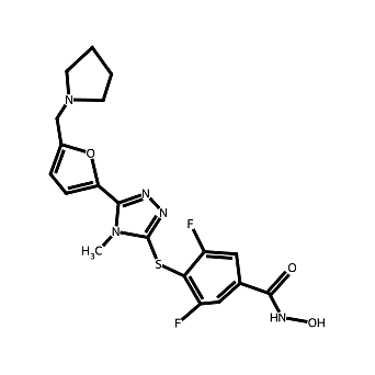 Cn1c(Sc2c(F)cc(C(=O)NO)cc2F)nnc1-c1ccc(CN2CCCC2)o1